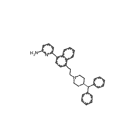 Nc1cccc(-c2ccc(CCN3CCC(C(c4ccccc4)c4ccccc4)CC3)c3ccccc23)n1